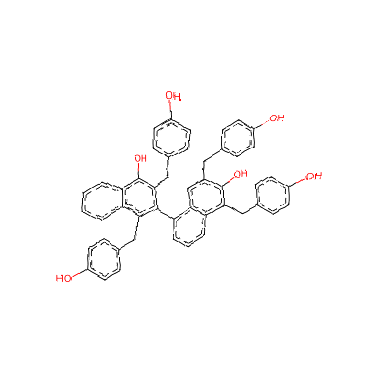 Oc1ccc(Cc2cc3c(-c4c(Cc5ccc(O)cc5)c(O)c5ccccc5c4Cc4ccc(O)cc4)cccc3c(Cc3ccc(O)cc3)c2O)cc1